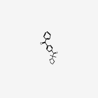 CC(C)(C(=O)c1ccc(C(=O)c2ccccc2)cc1)N1CCCC1